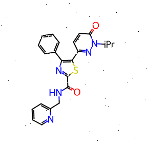 CC(C)n1nc(-c2sc(C(=O)NCc3ccccn3)nc2-c2ccccc2)ccc1=O